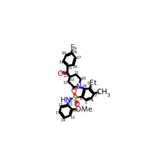 CCc1c(C)ccc(S(=O)(=O)Nc2ccccc2OC)c1N1CCC(C(=O)c2ccc(F)cc2)CC1